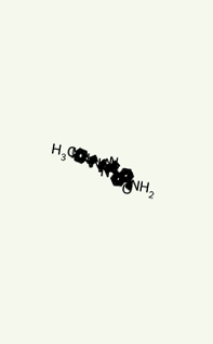 CN1CCN(C2CN(c3cnc4c(-c5cccc6c(C(N)=O)cccc56)cnn4c3)C2)CC1